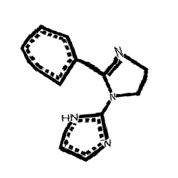 c1ccc(C2=NCCN2c2ncc[nH]2)cc1